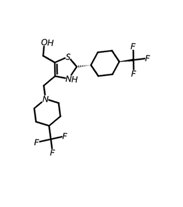 OCC1=C(CN2CCC(C(F)(F)F)CC2)NC([C@H]2CC[C@H](C(F)(F)F)CC2)S1